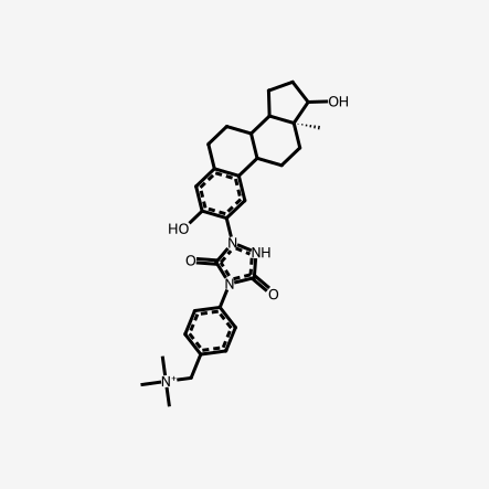 C[C@]12CCC3c4cc(-n5[nH]c(=O)n(-c6ccc(C[N+](C)(C)C)cc6)c5=O)c(O)cc4CCC3C1CCC2O